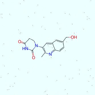 Cc1nc2ccc(CO)cc2cc1N1CCC(=O)NC1=O